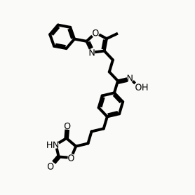 Cc1oc(-c2ccccc2)nc1CCC(=NO)c1ccc(CCCC2OC(=O)NC2=O)cc1